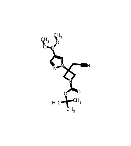 COB(OC)c1cnn(C2(CC#N)CN(C(=O)OC(C)(C)C)C2)c1